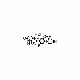 Cl.O=C1CC[C@H](NC(=O)c2cc3c(cc2F)N2CCNC[C@H]2CO3)C(=O)N1